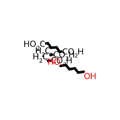 C=CC(=O)O.C=CC(=O)O.O=C(O)CCCCC(=O)O.OCCCCCCO